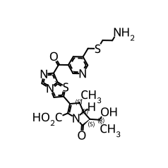 C[C@@H](O)[C@H]1C(=O)N2C(C(=O)O)=C(c3cn4cnc(C(=O)c5cncc(CSCCN)c5)c4s3)[C@H](C)[C@H]12